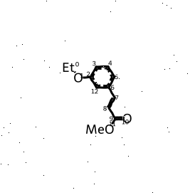 CCOc1cccc(C=CC(=O)OC)c1